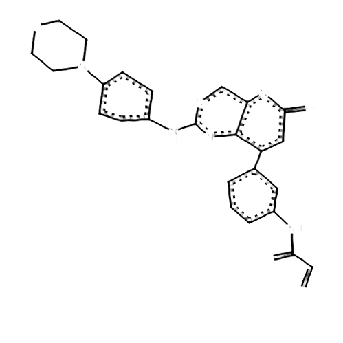 C=CC(=O)Nc1cccc(-c2cc(=O)[nH]c3cnc(Nc4ccc(N5CCOCC5)cc4)nc23)c1